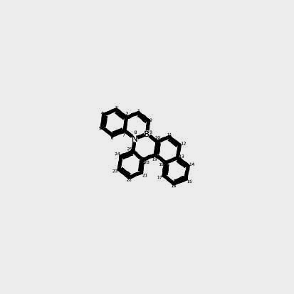 C1=Cc2ccccc2N2B1c1ccc3ccccc3c1-c1ccccc12